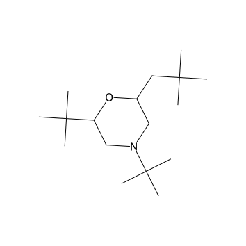 CC(C)(C)CC1CN(C(C)(C)C)CC(C(C)(C)C)O1